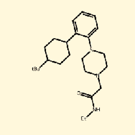 CCNC(=O)CN1CCN(c2ccccc2C2CCC(C(C)(C)C)CC2)CC1